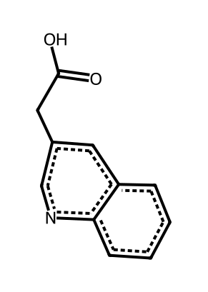 O=C(O)Cc1cnc2ccccc2c1